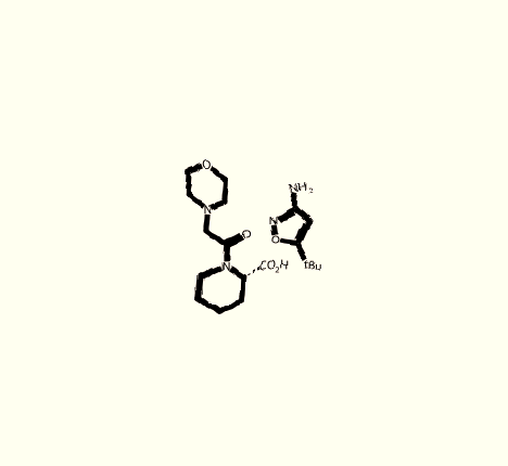 CC(C)(C)c1cc(N)no1.O=C(O)[C@@H]1CCCCN1C(=O)CN1CCOCC1